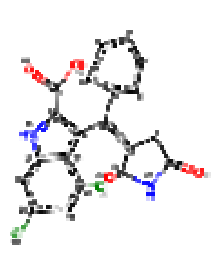 O=C1CC(=C(c2ccccc2)c2c(C(=O)O)[nH]c3cc(Cl)cc(Cl)c23)C(=O)N1